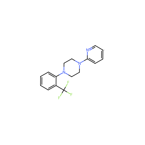 FC(F)(F)c1ccccc1N1CCN(c2cc[c]cn2)CC1